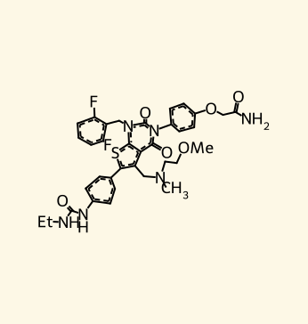 CCNC(=O)Nc1ccc(-c2sc3c(c2CN(C)CCOC)c(=O)n(-c2ccc(OCC(N)=O)cc2)c(=O)n3Cc2c(F)cccc2F)cc1